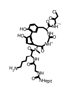 CCCCCCCC(=O)NCCC(=O)N[C@@H](CCCCN)C(=O)N(C)[C@@H]1C(=O)N[C@@H](C)C(=O)N[C@H](C(=O)N[C@@H](C)C(=O)CCl)Cc2ccc(O)c(c2)-c2cc1ccc2O